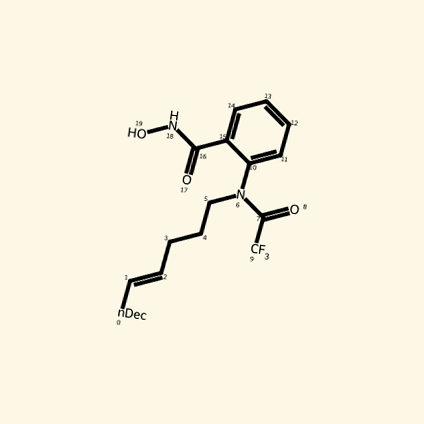 CCCCCCCCCCC=CCCCN(C(=O)C(F)(F)F)c1ccccc1C(=O)NO